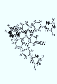 Cc1cccc(-c2c(-n3c4cc(-c5nc(C)nc(C)n5)ccc4c4ccc(-c5nc(C)nc(C)n5)cc43)cc(C#N)cc2-n2c3cc(-c4nc(C)nc(C)n4)ccc3c3ccc(-c4nc(C)nc(C)n4)cc32)n1